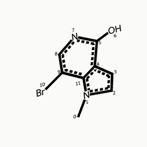 Cn1ccc2c(O)ncc(Br)c21